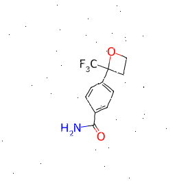 NC(=O)c1ccc(C2(C(F)(F)F)CCO2)cc1